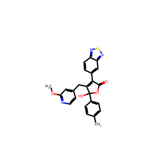 COc1cc(CC2=C(c3ccc4nsnc4c3)C(=O)OC2(O)c2ccc(C)cc2)ccn1